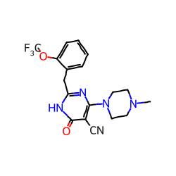 CN1CCN(c2nc(Cc3ccccc3OC(F)(F)F)[nH]c(=O)c2C#N)CC1